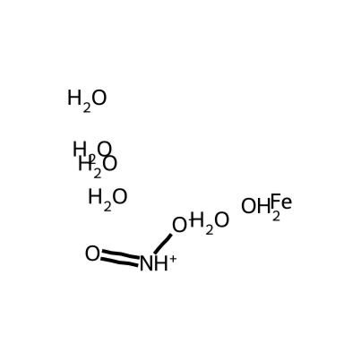 O.O.O.O.O.O.O=[NH+][O-].[Fe]